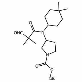 CC1(C)CCC(N(C(=O)C(C)(C)C=O)C2CCN(C(=O)OC(C)(C)C)C2)CC1